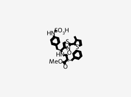 COC(=O)[C@@H](Cc1ccccc1)C(=O)N[C@@H](Cc1ccc(NS(=O)(=O)O)cc1)c1csc(C2SC=CC2C)n1